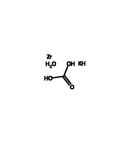 O.O=C(O)O.[KH].[Zr]